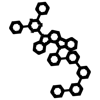 c1ccc(-c2cccc(-c3cccc(-c4cccc(-c5ccccc5-n5c6ccccc6c6ccc7c(c8ccccc8n7-c7nc(-c8ccccc8)nc(-c8ccccc8)n7)c65)c4)c3)c2)cc1